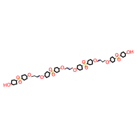 O=S(=O)(c1ccc(O/C=C/CCOc2ccc(S(=O)(=O)c3ccc(O)cc3)cc2)cc1)c1ccc(OC/C=C/COc2ccc(S(=O)(=O)c3ccc(O/C=C/CCOc4ccc(S(=O)(=O)c5ccc(O)cc5)cc4)cc3)cc2)cc1